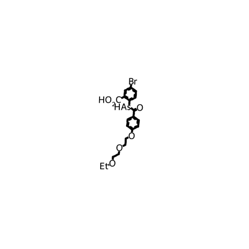 CCOCCOCCOc1ccc(C(=O)[AsH]c2ccc(Br)cc2C(=O)O)cc1